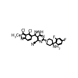 Cn1nc2ccc(-c3n[nH]c4nc(N5CCC(N)(c6ccc(F)cc6F)CC5)nc(C#N)c34)c(Cl)c2c1Cl